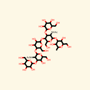 CC(=O)NC1C(OC2C(CO)OC(OC3C(CO)OC(OC4C(O)C(C)OC(CO)C4O)C(NC(C)=O)C3OC3OC(CO)C(O)C(O)C3O)C(O)C2O)OC(CO)C(O)C1OC1OC(CO)C(O)C(O)C1O